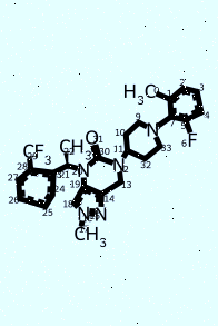 Cc1cccc(F)c1N1CCC(N2Cc3nn(C)cc3N([C@H](C)c3ccccc3C(F)(F)F)C2=O)CC1